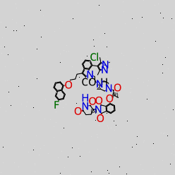 Cc1nn(C)c(C)c1-c1c(Cl)ccc2c(CCCOc3cccc4cc(F)ccc34)c(C(=O)O)n(CCN3CCN(C(=O)[C@@H](C)Oc4cccc5c4C(=O)N([C@H]4CCC(=O)NC4=O)C5=O)CC3)c12